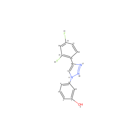 Oc1cccc(-n2cc(-c3ccc(F)cc3F)nn2)c1